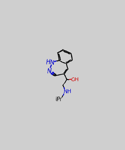 CC(C)NCC(O)C1=Cc2ccccc2NN=C1